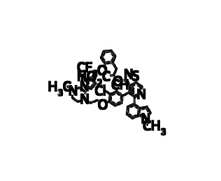 Cc1c(-c2c(-c3cccc4c3ccn4C)ncc3snc(O[C@H](Cc4ccccc4OCc4ccnn4CC(F)(F)F)C(=O)O)c23)ccc(OCCN2CCN(C)CC2)c1Cl